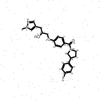 Cn1cc(CC(O)COc2ccc(C(=O)N3CCC(c4ccc(F)cc4)C3)cc2)cn1